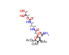 CC(=O)OC[C@H]1O[C@@H](OCC(=O)NCCCNC(=O)OC[C@H](O)CO)[C@H](CC(N)=O)[C@@H](OC(C)=O)[C@H]1OC(C)=O